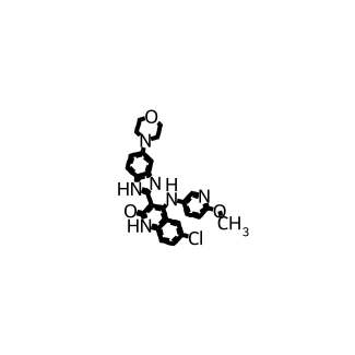 COc1ccc(Nc2c(-c3nc4cc(N5CCOCC5)ccc4[nH]3)c(=O)[nH]c3ccc(Cl)cc23)cn1